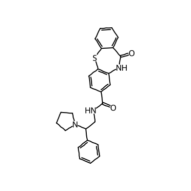 O=C(NCC(c1ccccc1)N1CCCC1)c1ccc2c(c1)NC(=O)c1ccccc1S2